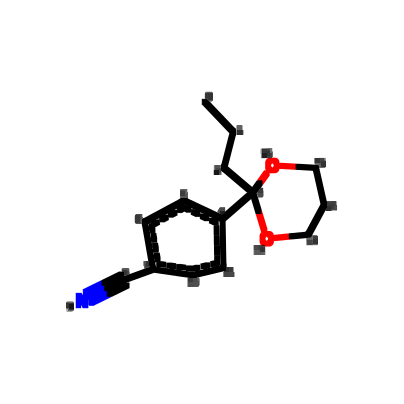 CCCC1(c2ccc(C#N)cc2)OCCCO1